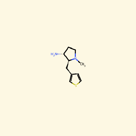 CN1CC[C@@H](N)[C@@H]1Cc1ccsc1